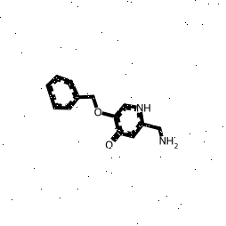 NCc1cc(=O)c(OCc2ccccc2)c[nH]1